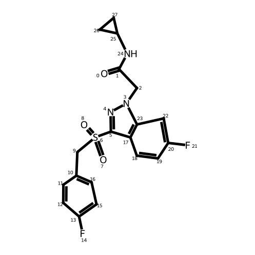 O=C(Cn1nc(S(=O)(=O)Cc2ccc(F)cc2)c2ccc(F)cc21)NC1CC1